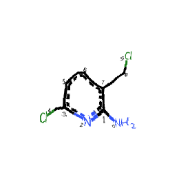 Nc1nc(Cl)ccc1CCl